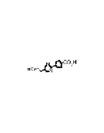 CCCCCCCCCCCc1cnc(-c2ccc(C(=O)O)cc2)nc1